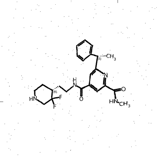 CNC(=O)c1cc(C(=O)NCC[C@H]2CCNCC2(F)F)cc([C@@H](C)c2ccccc2)n1